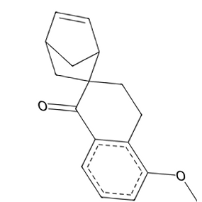 COc1cccc2c1CCC1(CC3C=CC1C3)C2=O